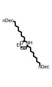 CCCCCCCCCCCCCCCCCC(=O)NC(=O)CCCCCCCCCCCCCCCCC.CCO